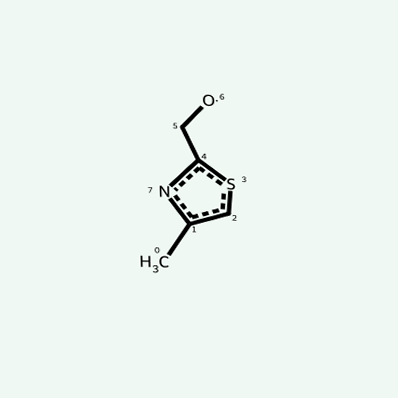 Cc1csc(C[O])n1